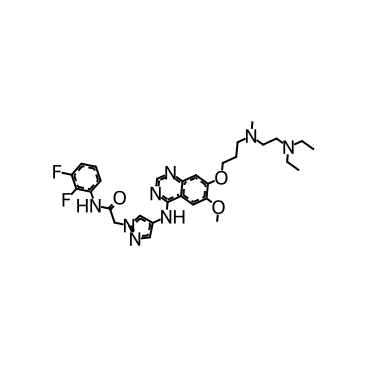 CCN(CC)CCN(C)CCCOc1cc2ncnc(Nc3cnn(CC(=O)Nc4cccc(F)c4F)c3)c2cc1OC